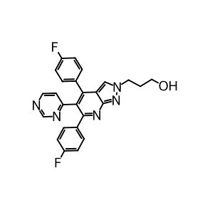 OCCCn1cc2c(-c3ccc(F)cc3)c(-c3ccncn3)c(-c3ccc(F)cc3)nc2n1